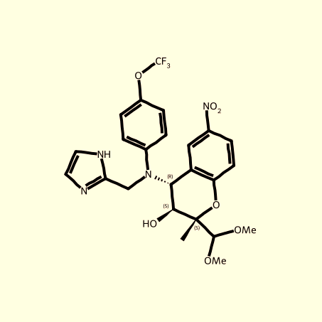 COC(OC)[C@@]1(C)Oc2ccc([N+](=O)[O-])cc2[C@@H](N(Cc2ncc[nH]2)c2ccc(OC(F)(F)F)cc2)[C@@H]1O